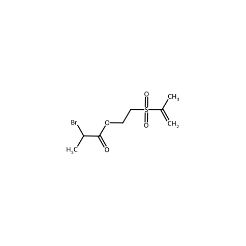 C=C(C)S(=O)(=O)CCOC(=O)C(C)Br